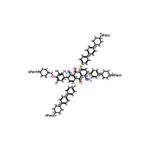 CCCCCC1CCC(COc2c(C)cc(-c3cc(Sc4ccc(-c5ccc(C6CCC(CCCCC)CC6)cc5)cc4)c4c(c3N)C(=O)c3c(Sc5ccc(-c6ccc(C7CCC(CCCCC)CC7)cc6)cc5)cc(-c5ccc(C6CCC(CCCCC)CC6)cc5)c(N)c3C4=O)cc2C)CC1